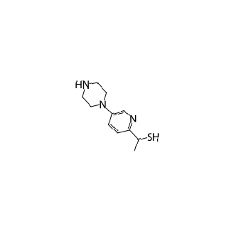 CC(S)c1ccc(N2CCNCC2)cn1